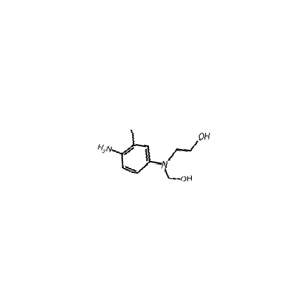 Cc1cc(N(CO)CCO)ccc1N